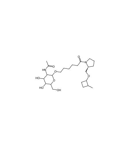 CC(=O)NC1C(OCCCCCC(=O)N2CCC[C@H]2COC2CCC2C)OC(CO)C(O)C1O